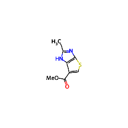 COC(=O)c1csc2nc(C)[nH]c12